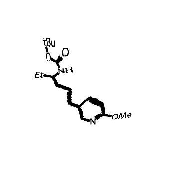 CCC(CC=Cc1ccc(OC)nc1)NC(=O)OC(C)(C)C